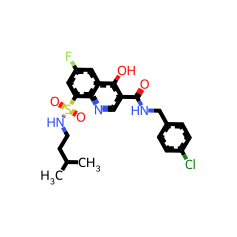 CC(C)CCNS(=O)(=O)c1cc(F)cc2c(O)c(C(=O)NCc3ccc(Cl)cc3)cnc12